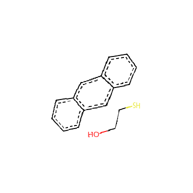 OCCS.c1ccc2cc3ccccc3cc2c1